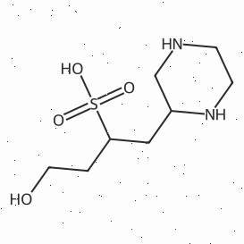 O=S(=O)(O)C(CCO)CC1CNCCN1